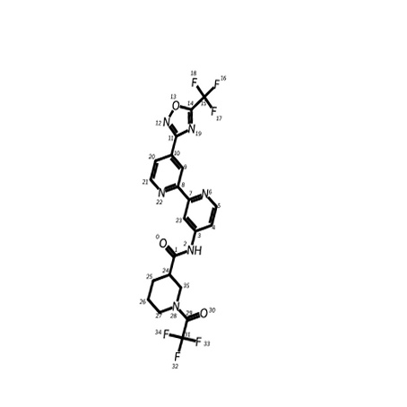 O=C(Nc1ccnc(-c2cc(-c3noc(C(F)(F)F)n3)ccn2)c1)C1CCCN(C(=O)C(F)(F)F)C1